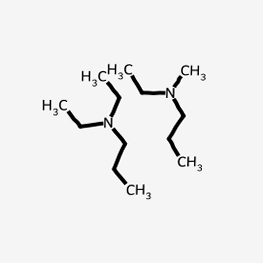 CCCN(C)CC.CCCN(CC)CC